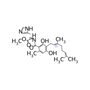 COC(=O)[C@H](Cc1cnc[nH]1)NC(=O)c1c(C)cc(O)c(C/C=C(\C)CCC=C(C)C)c1O